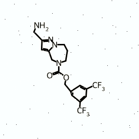 NCc1cc2n(n1)CCCN(C(=O)OCc1cc(C(F)(F)F)cc(C(F)(F)F)c1)C2